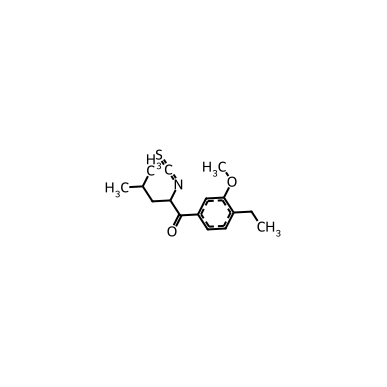 CCc1ccc(C(=O)C(CC(C)C)N=C=S)cc1OC